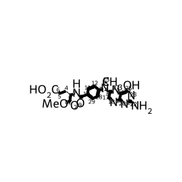 COC(=O)[C@H](CCC(=O)O)NC(=O)c1ccc(N(C)c2cnc3nc(N)nc(O)c3n2)cc1